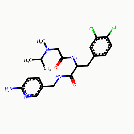 CC(C)N(C)CC(=O)NC(Cc1ccc(Cl)c(Cl)c1)C(=O)NCc1ccc(N)nc1